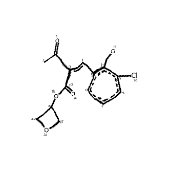 CC(=O)/C(=C/c1cccc(Cl)c1Cl)C(=O)OC1COC1